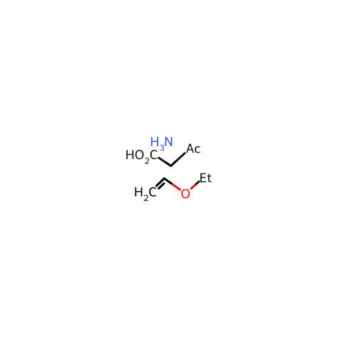 C=COCC.CC(=O)CC(=O)O.N